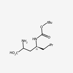 CC(C)C[C@@H](CC(N)C(=O)O)NC(=O)OC(C)(C)C